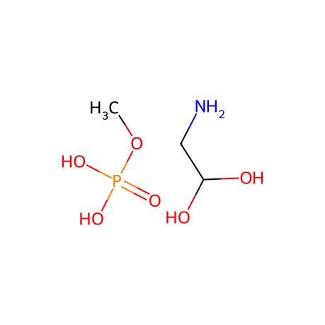 COP(=O)(O)O.NCC(O)O